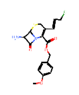 COc1ccc(COC(=O)C2=C(/C=C/CCl)CSC3[C@H](N)C(=O)N23)cc1